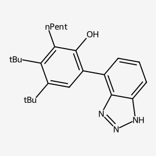 CCCCCc1c(O)c(-c2cccc3[nH]nnc23)cc(C(C)(C)C)c1C(C)(C)C